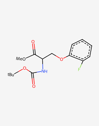 COC(=O)C(COc1ccccc1F)NC(=O)OC(C)(C)C